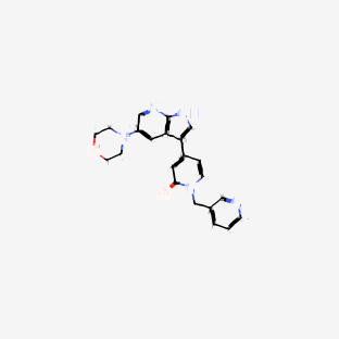 O=c1cc(-c2c[nH]c3ncc(N4CCOCC4)cc23)ccn1Cc1cccnc1